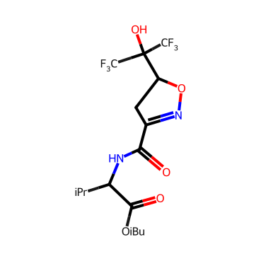 CC(C)COC(=O)C(NC(=O)C1=NOC(C(O)(C(F)(F)F)C(F)(F)F)C1)C(C)C